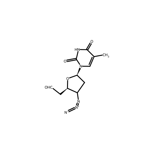 Cc1cn([C@H]2CC(N=[N+]=[N-])[C@@H](CC=O)O2)c(=O)[nH]c1=O